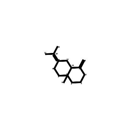 C=C1CCCC2(C)CCC(=C(C)C)CC12